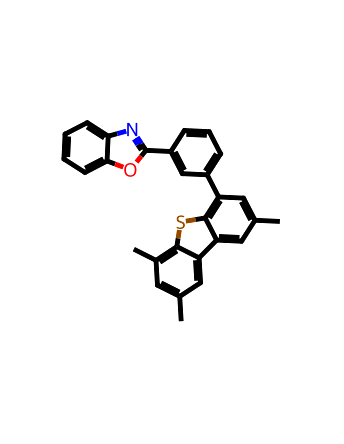 Cc1cc(C)c2sc3c(-c4cccc(-c5nc6ccccc6o5)c4)cc(C)cc3c2c1